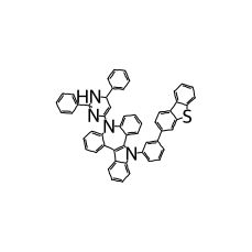 C1=C(N2c3ccccc3-c3c(n(-c4cccc(-c5ccc6c(c5)sc5ccccc56)c4)c4ccccc34)-c3ccccc32)N=C(c2ccccc2)NC1c1ccccc1